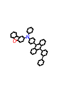 c1ccc(-c2cccc(-c3c4ccccc4c(-c4ccc(N(c5ccccc5)c5ccc6oc7ccccc7c6c5)cc4)c4ccccc34)c2)cc1